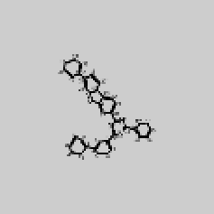 c1ccc(-c2cccc(-c3nc(-c4ccccc4)nc(-c4ccc5c(c4)oc4cc(-c6ccccc6)ccc45)n3)c2)cc1